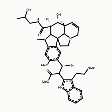 CCC(C)[C@H](c1cc2c(cc1OC)N(C)C1C23CCN2CC=C[C@](CC)(C23)[C@@H](O)[C@]1(O)C(=O)NCC(C)O)C(C(=O)OC)c1[nH]c2ccccc2c1CCNC